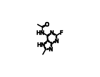 CC(=O)Nc1nc(F)nc2nc(C)[nH]c12